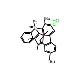 Cl.Cl.[CH2]=[Zr]([CH2]C)([C]1=C(C)C(C)=CC1C)([c]1ccccc1)[c]1c(C(C)(C)C)ccc2c1Cc1cc(C(C)(C)C)ccc1-2